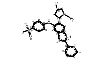 CC(=O)N1C[C@H](F)C[C@@H]1c1cc2[nH]c(-c3ccccn3)nc2cc1Oc1ccc(S(C)(=O)=O)cc1